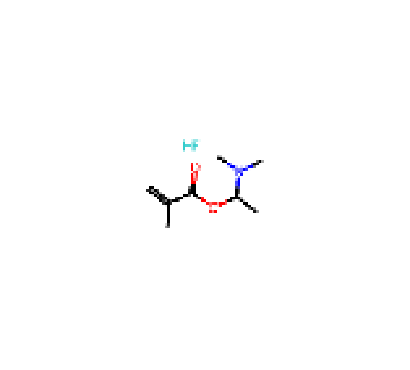 C=C(C)C(=O)OC(C)N(C)C.F